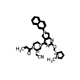 C=CC(=O)N1CCN(c2nc(OC[C@@H]3CCCN3C)nc3c2CN(c2ccc4ccccc4c2)C3)C[C@@H]1CC#N